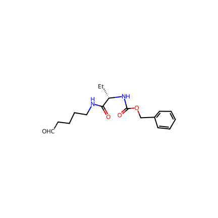 [CH2]C[C@H](NC(=O)OCc1ccccc1)C(=O)NCCCCC=O